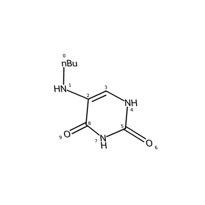 CCCCNc1c[nH]c(=O)[nH]c1=O